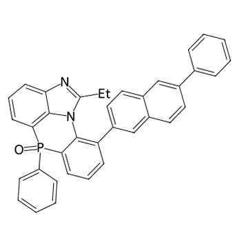 CCc1nc2cccc3c2n1-c1c(-c2ccc4cc(-c5ccccc5)ccc4c2)cccc1P3(=O)c1ccccc1